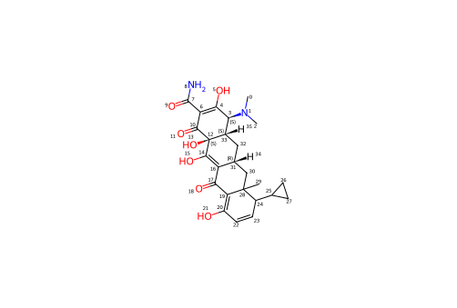 CN(C)[C@@H]1C(O)=C(C(N)=O)C(=O)[C@@]2(O)C(O)=C3C(=O)C4=C(O)C=CC(C5CC5)C4(C)C[C@H]3C[C@@H]12